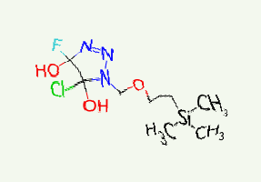 C[Si](C)(C)CCOCN1N=NC(O)(F)C1(O)Cl